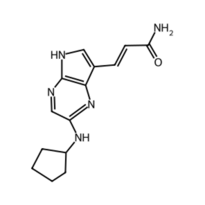 NC(=O)C=Cc1c[nH]c2ncc(NC3CCCC3)nc12